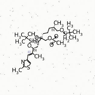 C/C(=C\c1csc(C)n1)[C@H](C[C@@H]1O[C@@]1(CCC[C@H](C)CO[SiH2]C(C)(C)C)COS(C)(=O)=O)O[SiH2]C(C)(C)C